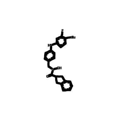 CC(C)(C)c1ccc(Nc2ccc(CN(O)C(=O)C3Cc4ccccc4C3)cc2)cc1F